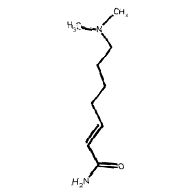 CN(C)CCCCC=CC(N)=O